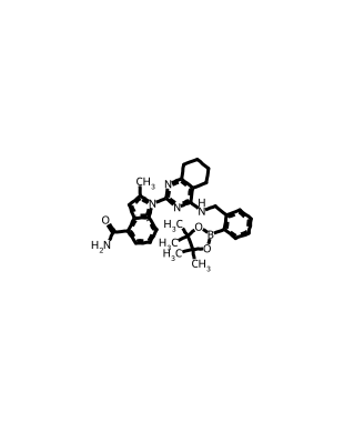 Cc1cc2c(C(N)=O)cccc2n1-c1nc2c(c(NCc3ccccc3B3OC(C)(C)C(C)(C)O3)n1)CCCC2